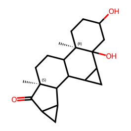 C[C@]12CCC3C(C4CC4C4(O)CC(O)CC[C@]34C)C1C1CC1C2=O